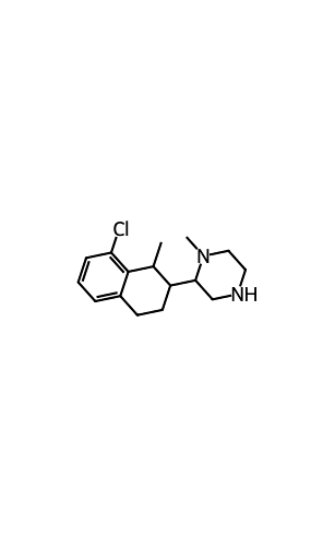 CC1c2c(Cl)cccc2CCC1C1CNCCN1C